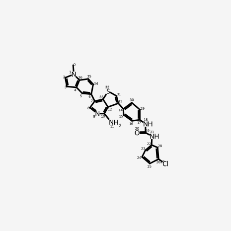 Cn1ccc2cc(-c3cnc(N)c4c(-c5ccc(NC(=O)Nc6cccc(Cl)c6)cc5)csc34)ccc21